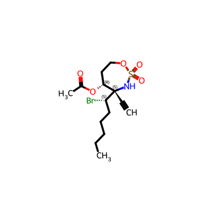 C#C[C@]1([C@@H](Br)CCCCC)NS(=O)(=O)OCC[C@H]1OC(C)=O